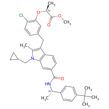 COC(=O)[C@H](C)Oc1cc(Cc2c(C)n(CC3CC3)c3cc(C(=O)N[C@@H](C)c4ccc(C(C)(C)C)cc4)ccc23)ccc1Cl